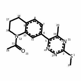 CSc1nnc(-c2ccc3c(c2)N(C(C)=O)CCC3)c(C)n1